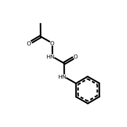 CC(=O)ONC(=O)Nc1ccccc1